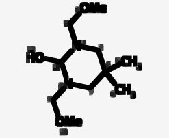 COCN1CC(C)(C)CN(COC)C1O